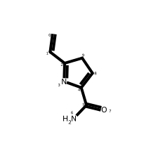 C=CC1=NC(C(N)=O)=CC1